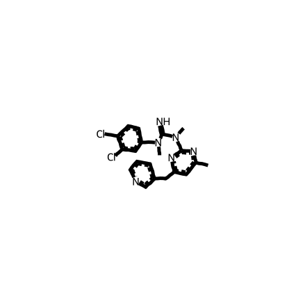 Cc1cc(Cc2cccnc2)nc(N(C)C(=N)N(C)c2ccc(Cl)c(Cl)c2)n1